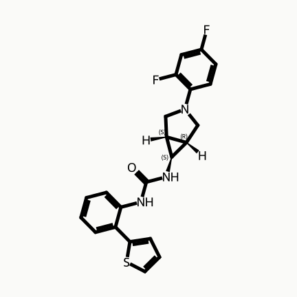 O=C(Nc1ccccc1-c1cccs1)N[C@H]1[C@@H]2CN(c3ccc(F)cc3F)C[C@@H]21